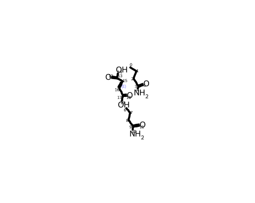 CCCC(N)=O.CCCC(N)=O.O=C(O)/C=C/C(=O)O